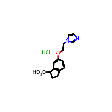 Cl.O=C(O)C1CCc2ccc(OCCn3ccnc3)cc21